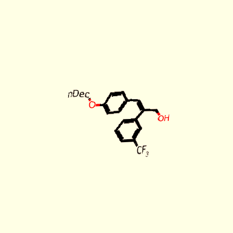 CCCCCCCCCCOc1ccc(C=C(CO)c2cccc(C(F)(F)F)c2)cc1